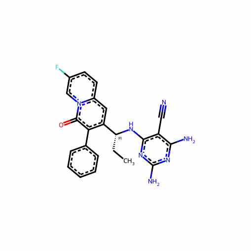 CC[C@@H](Nc1nc(N)nc(N)c1C#N)c1cc2ccc(F)cn2c(=O)c1-c1ccccc1